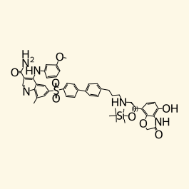 COc1cccc(Nc2c(C(N)=O)cnc3c(C)cc(S(=O)(=O)c4ccc(-c5ccc(CCCNC[C@H](O[Si](C)(C)C(C)(C)C)c6ccc(O)c7c6OCC(=O)N7)cc5)cc4)cc23)c1